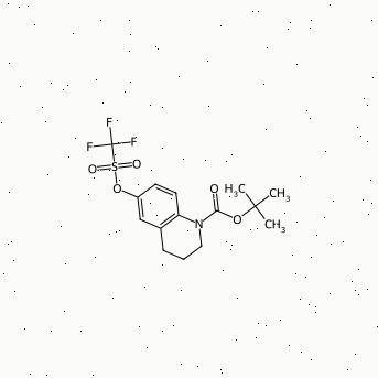 CC(C)(C)OC(=O)N1CCCc2cc(OS(=O)(=O)C(F)(F)F)ccc21